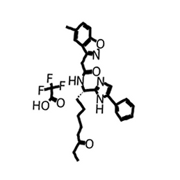 CCC(=O)CCCCC[C@H](NC(=O)Cc1noc2ccc(C)cc12)c1ncc(-c2ccccc2)[nH]1.O=C(O)C(F)(F)F